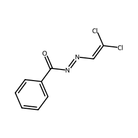 O=C(N=NC=C(Cl)Cl)c1ccccc1